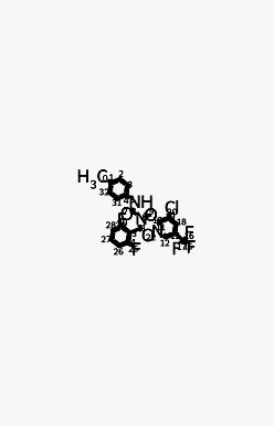 Cc1ccc(NC(=O)N(Oc2ncc(C(F)(F)F)cc2Cl)C(=O)c2c(F)cccc2F)cc1